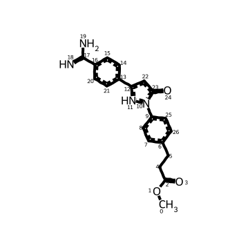 COC(=O)CCc1ccc(-n2[nH]c(-c3ccc(C(=N)N)cc3)cc2=O)cc1